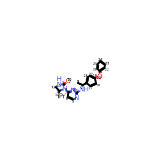 CC(Nc1nccc(N2C(=O)NCC2C(C)C)n1)c1ccc(Oc2ccccc2)cc1